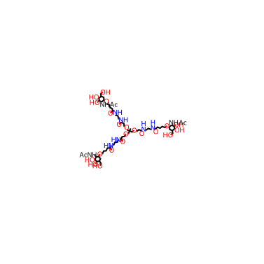 CC(=O)NC1C(OCCCCC(=O)NCCCNC(=O)CCOCC(C)(COCCC(=O)NCCCNC(=O)CCCCOC2CC(CO)C(O)C(O)C2NC(C)=O)COCCC(=O)NCCCNC(=O)CCCCOC2CC(CO)C(O)C(O)C2NC(C)=O)CC(CO)C(O)C1O